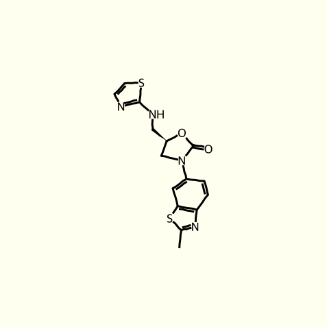 Cc1nc2ccc(N3C[C@@H](CNc4nccs4)OC3=O)cc2s1